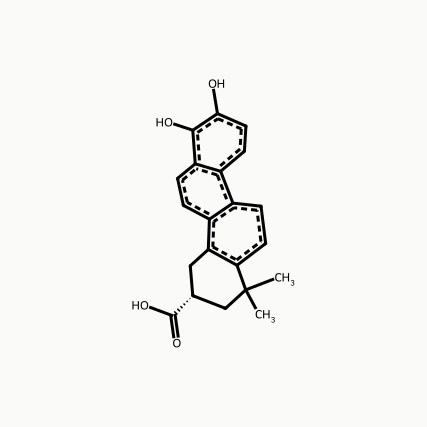 CC1(C)C[C@H](C(=O)O)Cc2c1ccc1c2ccc2c(O)c(O)ccc21